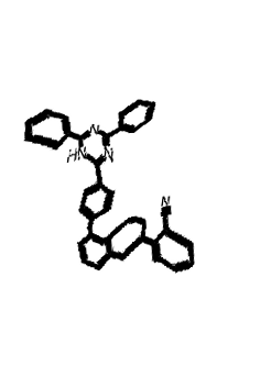 N#Cc1ccccc1-c1ccc2c(-c3ccc(C4N=C(c5ccccc5)N=C(c5ccccc5)N4)cc3)cccc2c1